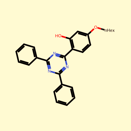 CCCCCCOc1ccc(-c2nc(-c3ccccc3)nc(-c3ccccc3)n2)c(O)c1